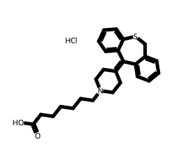 Cl.O=C(O)CCCCCCN1CCC(=C2c3ccccc3CSc3ccccc32)CC1